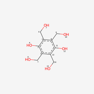 OCc1c(O)c(CO)c(CO)c(O)c1CO